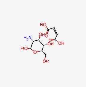 N[C@@H]1[C@@H](O)[C@H](O)[C@@H](CO)O[C@H]1O.O=C(O)/C=C\C(=O)O